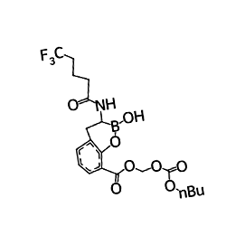 CCCCOC(=O)OCOC(=O)c1cccc2c1OB(O)C(NC(=O)CCCC(F)(F)F)C2